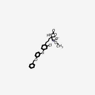 CCO/[P+]([O-])=C/C1(CCCc2ccc(Sc3cccc(OCc4ccccc4)c3)cc2Cl)COC(=O)N1